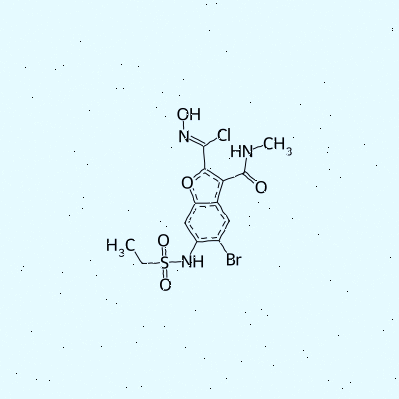 CCS(=O)(=O)Nc1cc2oc(/C(Cl)=N/O)c(C(=O)NC)c2cc1Br